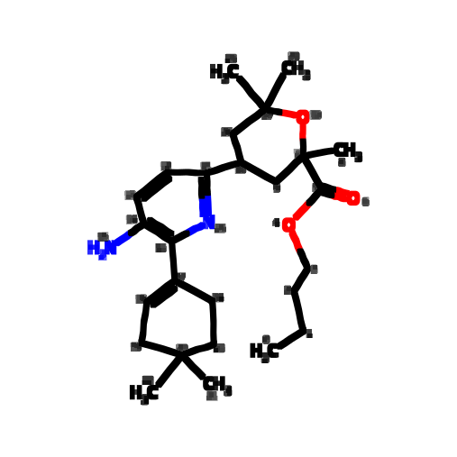 CCCCOC(=O)C1(C)CC(c2ccc(N)c(C3=CCC(C)(C)CC3)n2)CC(C)(C)O1